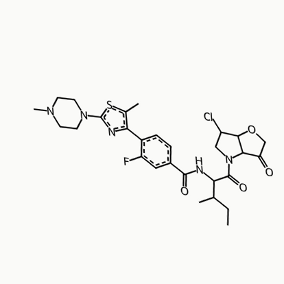 CCC(C)C(NC(=O)c1ccc(-c2nc(N3CCN(C)CC3)sc2C)c(F)c1)C(=O)N1CC(Cl)C2OCC(=O)C21